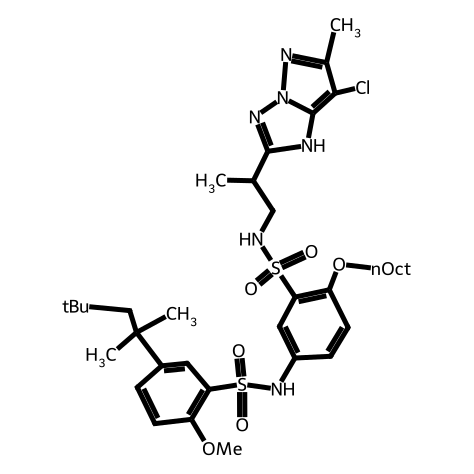 CCCCCCCCOc1ccc(NS(=O)(=O)c2cc(C(C)(C)CC(C)(C)C)ccc2OC)cc1S(=O)(=O)NCC(C)c1nn2nc(C)c(Cl)c2[nH]1